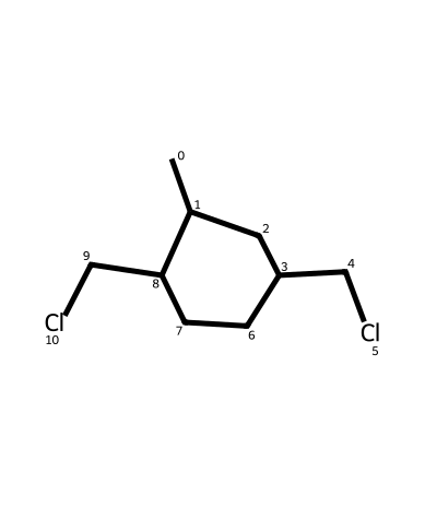 CC1CC(CCl)CCC1CCl